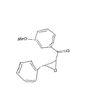 COc1cccc(C(=O)C2OC2c2ccccc2)c1